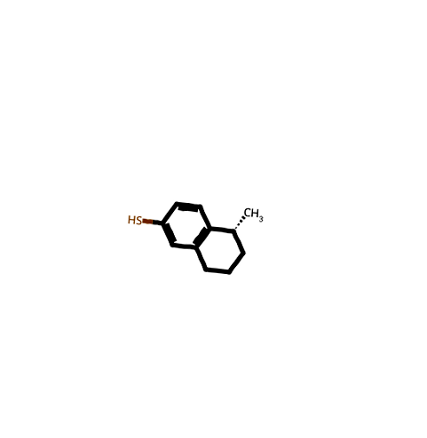 C[C@@H]1CCCc2cc(S)ccc21